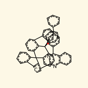 c1ccc(-c2ccc(-c3nc(-c4cccc5c4C4(c6ccccc6-5)c5ccccc5C5(c6ccccc6)c6ccccc6-c6cccc4c65)nc4ccccc34)cc2)cc1